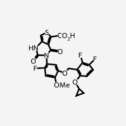 COc1cc(F)c(-n2c(=O)[nH]c3csc(C(=O)O)c3c2=O)cc1OCc1c(OC2CC2)ccc(F)c1F